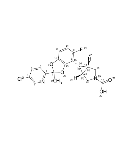 CC1(c2ccc(Cl)cn2)Oc2ccc(F)c([C@@H]3[C@@H]4CN(C(=O)O)C[C@@H]43)c2O1